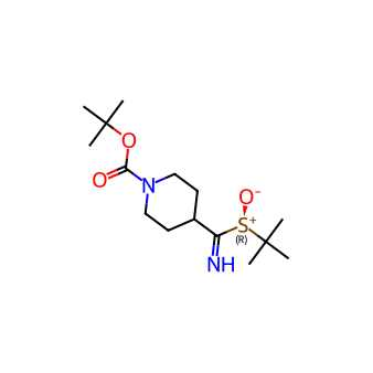 CC(C)(C)OC(=O)N1CCC(C(=N)[S@@+]([O-])C(C)(C)C)CC1